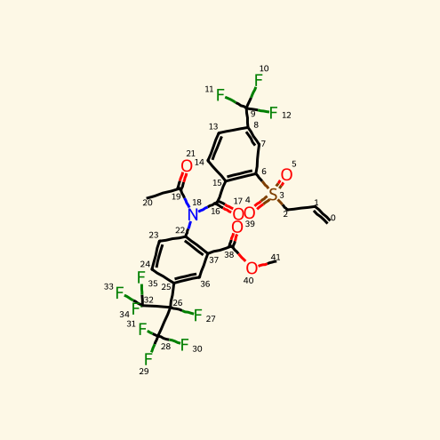 C=CCS(=O)(=O)c1cc(C(F)(F)F)ccc1C(=O)N(C(C)=O)c1ccc(C(F)(C(F)(F)F)C(F)(F)F)cc1C(=O)OC